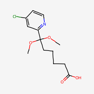 COC(CCCCC(=O)O)(OC)c1cc(Cl)ccn1